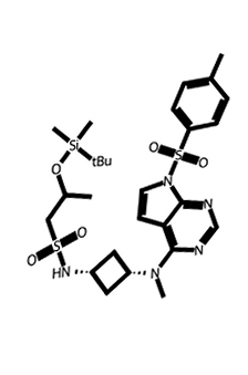 Cc1ccc(S(=O)(=O)n2ccc3c(N(C)[C@H]4C[C@@H](NS(=O)(=O)CC(C)O[Si](C)(C)C(C)(C)C)C4)ncnc32)cc1